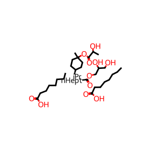 CC(O)C(=O)OC1(C)CCC(C(C)C)CC1.CCCCCCCC(=O)O.CCCCCCCC(=O)O.CCCCCCCC(=O)OCC(O)CO